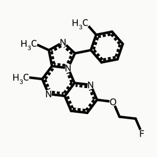 Cc1ccccc1-c1nc(C)c2c(C)nc3ccc(OCCF)nc3n12